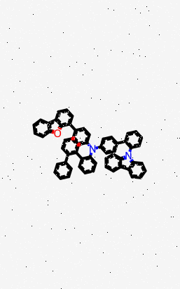 c1ccc(-c2ccccc2-c2ccccc2N(c2ccc(-c3ccccc3-n3c4ccccc4c4ccccc43)cc2)c2ccc(-c3cccc4c3oc3ccccc34)cc2)cc1